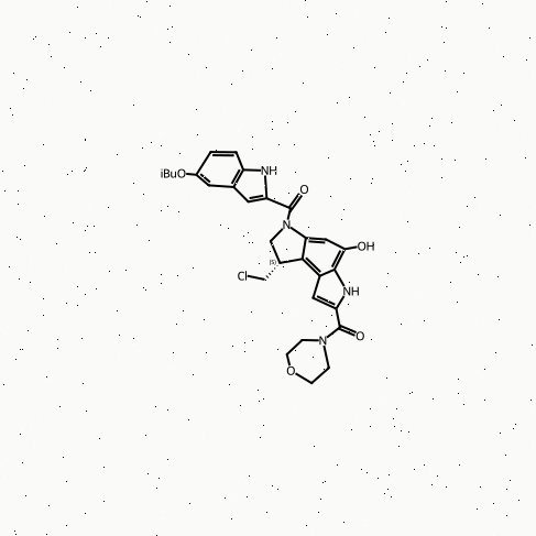 CC(C)COc1ccc2[nH]c(C(=O)N3C[C@@H](CCl)c4c3cc(O)c3[nH]c(C(=O)N5CCOCC5)cc43)cc2c1